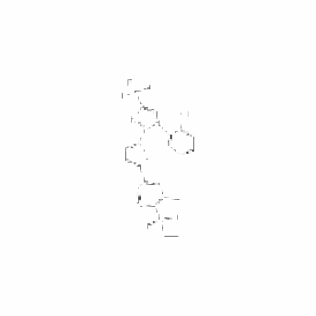 CCS(=O)(=O)c1ncc(-c2ccc(-c3nc(C(F)(F)F)cn3-c3ccccc3Cl)s2)cc1C